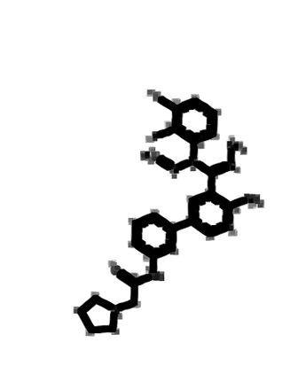 C=NN(/C(=N\N)c1cc(-c2cccc(NC(=O)CN3CCCC3)c2)cnc1N)c1cccc(F)c1F